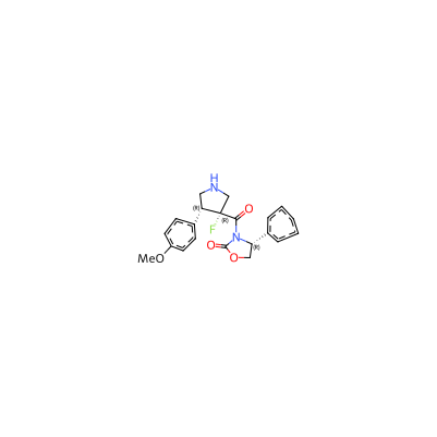 COc1ccc([C@@H]2CNC[C@@]2(F)C(=O)N2C(=O)OC[C@H]2c2ccccc2)cc1